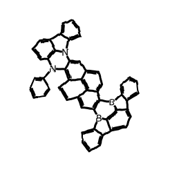 c1ccc(-n2c3cccc4c5ccccc5n(c5cc6ccc7c8c(cc9ccc(c6c97)c52)B2c5ccccc5-c5ccc6c(c52)B8c2ccccc2-6)c43)cc1